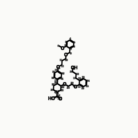 COc1ccccc1COCCCOc1ccc(C2CCN(C(=O)O)CC2OCCOc2ccccc2CCCO)cc1